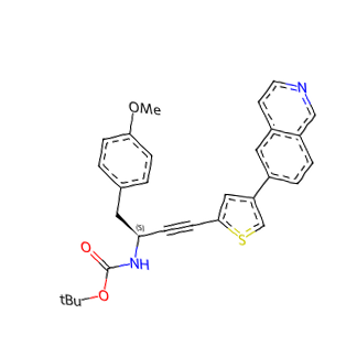 COc1ccc(C[C@@H](C#Cc2cc(-c3ccc4cnccc4c3)cs2)NC(=O)OC(C)(C)C)cc1